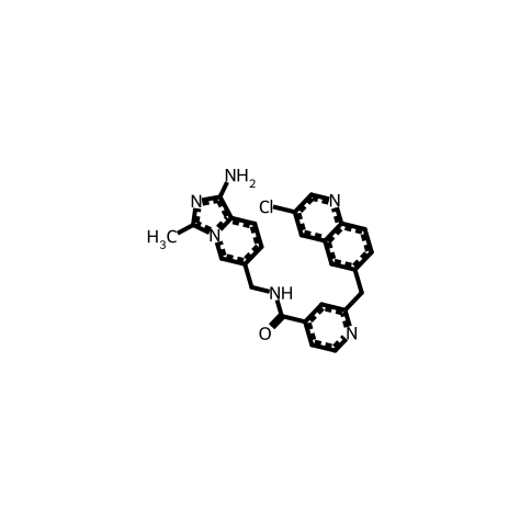 Cc1nc(N)c2ccc(CNC(=O)c3ccnc(Cc4ccc5ncc(Cl)cc5c4)c3)cn12